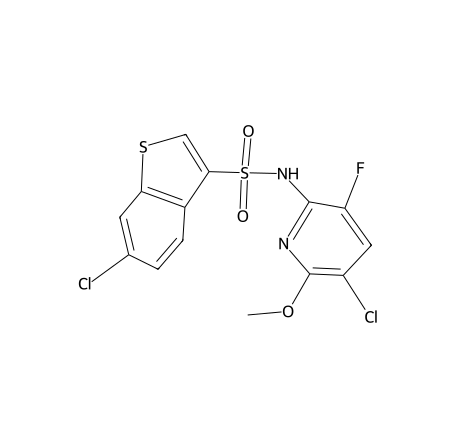 COc1nc(NS(=O)(=O)c2csc3cc(Cl)ccc23)c(F)cc1Cl